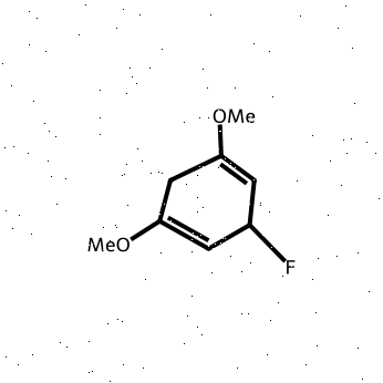 COC1=CC(F)C=C(OC)C1